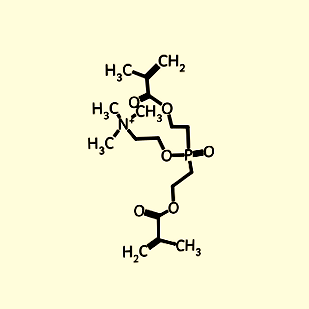 C=C(C)C(=O)OCCP(=O)(CCOC(=O)C(=C)C)OCC[N+](C)(C)C